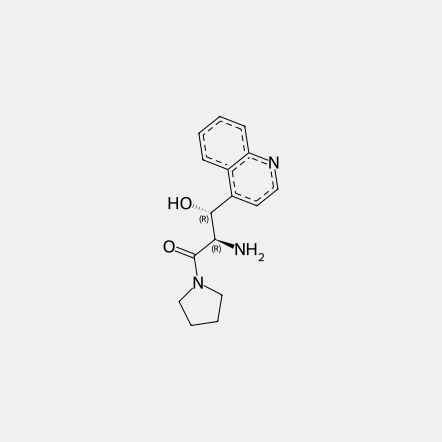 N[C@@H](C(=O)N1CCCC1)[C@H](O)c1ccnc2ccccc12